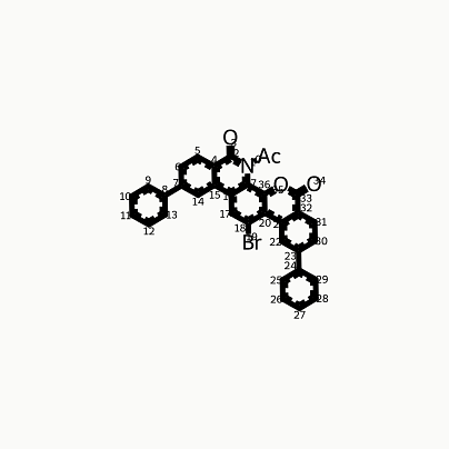 CC(=O)n1c(=O)c2ccc(-c3ccccc3)cc2c2cc(Br)c3c4cc(-c5ccccc5)ccc4c(=O)oc3c21